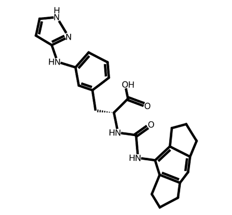 O=C(Nc1c2c(cc3c1CCC3)CCC2)N[C@H](Cc1cccc(Nc2cc[nH]n2)c1)C(=O)O